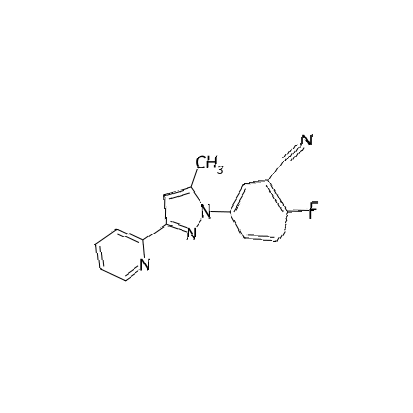 Cc1cc(-c2ccccn2)nn1-c1ccc(F)c(C#N)c1